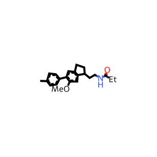 CCC(=O)NCCC1CCc2cc(-c3ccc(C)cc3)c(OC)cc21